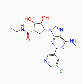 CCNC(=O)[C@H]1C[C@@H](n2cnc3c(NC)nc(-c4cncc(Cl)c4)nc32)[C@H](O)[C@@H]1O